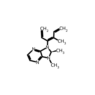 C=C/C(C)=C(\C=C)N1c2nccnc2N(C)[C@@H]1C